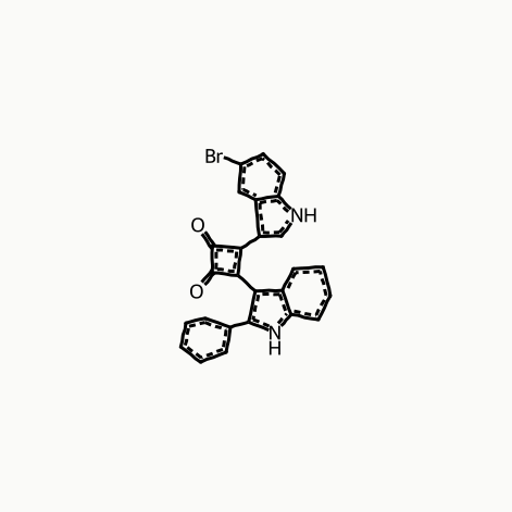 O=c1c(-c2c[nH]c3ccc(Br)cc23)c(-c2c(-c3ccccc3)[nH]c3ccccc23)c1=O